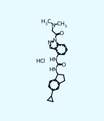 CN(C)CC(=O)n1ncc2c(NC(=O)NC3CCc4cc(C5CC5)ccc43)cccc21.Cl